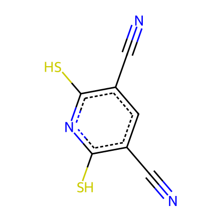 N#Cc1cc(C#N)c(S)nc1S